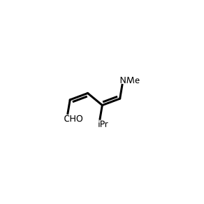 CN/C=C(\C=C/C=O)C(C)C